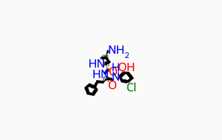 NC[C@@H]1CN[C@@H](C(=O)N[C@H](CCc2ccccc2)C(=O)Nc2cc(Cl)ccc2O)C1